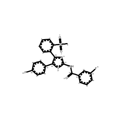 CS(=O)(=O)c1ccccc1-c1nc(NC(=O)c2cccc(F)c2)sc1-c1ccc(F)cc1